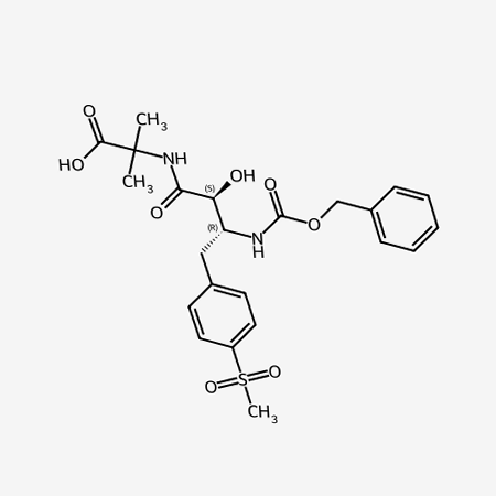 CC(C)(NC(=O)[C@@H](O)[C@@H](Cc1ccc(S(C)(=O)=O)cc1)NC(=O)OCc1ccccc1)C(=O)O